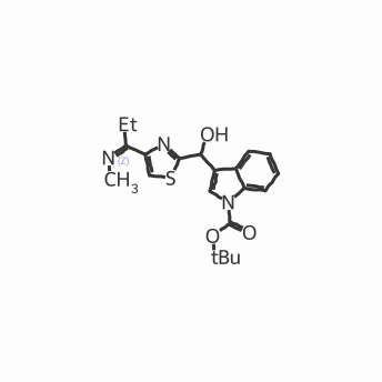 CC/C(=N/C)c1csc(C(O)c2cn(C(=O)OC(C)(C)C)c3ccccc23)n1